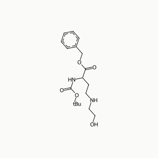 CC(C)(C)OC(=O)NC(CCNCCO)C(=O)OCc1ccccc1